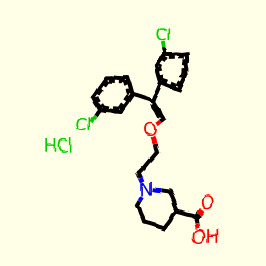 Cl.O=C(O)C1CCCN(CCOC=C(c2cccc(Cl)c2)c2cccc(Cl)c2)C1